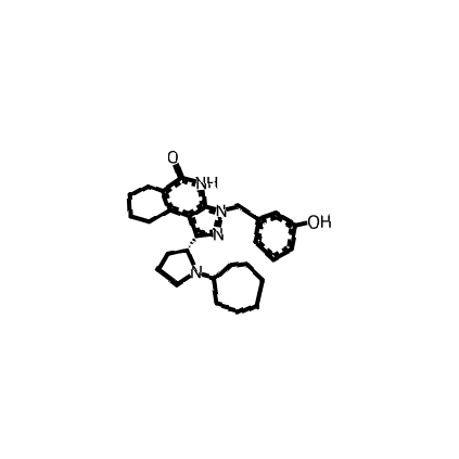 O=c1[nH]c2c(c([C@H]3CCCN3C3CCCCCC3)nn2Cc2cccc(O)c2)c2c1CCCC2